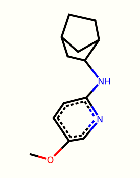 COc1ccc(NC2CC3CCC2C3)nc1